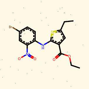 CCOC(=O)c1cc(CC)sc1Nc1ccc(Br)cc1[N+](=O)[O-]